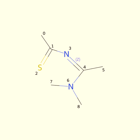 CC(=S)/N=C(/C)N(C)C